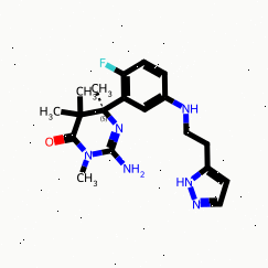 CN1C(=O)C(C)(C)[C@@](C)(c2cc(NCCc3ccn[nH]3)ccc2F)N=C1N